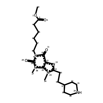 COC(=O)CCCCCn1c(=O)c2nc(CCC3CCNCC3)n(C)c2n(C)c1=O